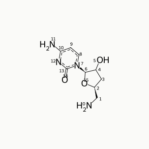 NC[C@@H]1CC(O)[C@H](n2ccc(N)nc2=O)O1